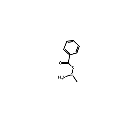 CN(N)SC(=O)c1ccccc1